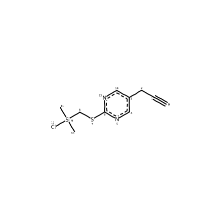 C#CCc1cnc(SC[Si](C)(C)Cl)nc1